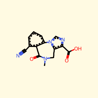 CN1Cc2c(C(=O)O)ncn2-c2cccc(C#N)c2C1=O